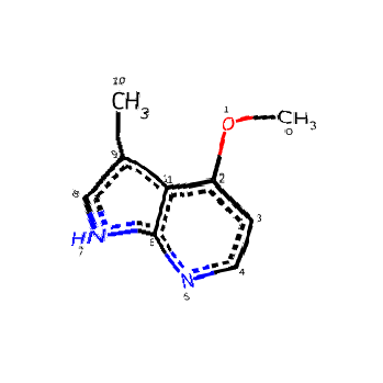 COc1ccnc2[nH]cc(C)c12